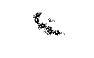 Cn1c(-c2cn(-c3ccc(N)cn3)nc2C(F)(F)F)cnc1C(=O)Nc1ccc(C(=O)NCC2CCN(C(=O)C3CCNCC3)CC2)c(Cl)c1.O=CO